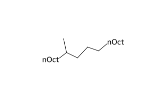 CCCCCCCCCCCC(C)CCCCCCCC